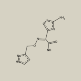 [NH]C(=O)C(=NOCc1cc[nH]n1)c1csc(N)n1